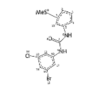 CSc1cccc(NC(=O)Nc2cc(Cl)cc(Br)c2)c1